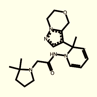 CC1(C)CCCN1CC(=O)NN1C=CC=[C]C1(C)c1cnn2c1COCC2